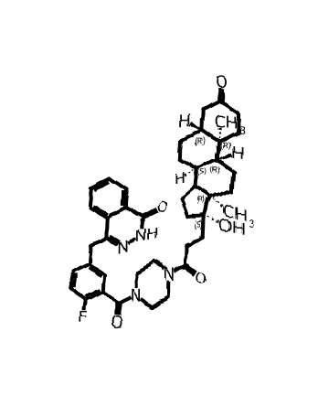 C[C@@]12CCC(=O)C[C@H]1CC[C@@H]1C3CC[C@](O)(CCC(=O)N4CCN(C(=O)c5cc(Cc6n[nH]c(=O)c7ccccc67)ccc5F)CC4)[C@]3(C)CC[C@H]12